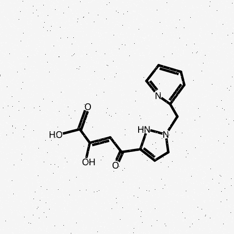 O=C(O)C(O)=CC(=O)C1=CCN(Cc2ccccn2)N1